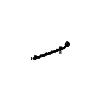 CS(=O)(=O)c1ncc(C#CCCCC(=O)NCCOCCOCCOCCOCCOCCOCCOCCOCCC(=O)O)cn1